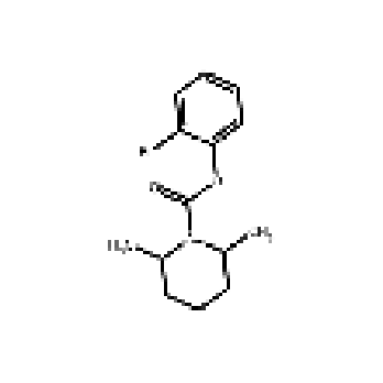 CC1CCCC(C)N1C(=O)Oc1ccccc1Br